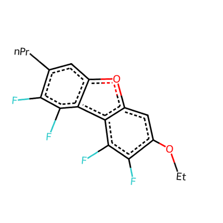 CCCc1cc2oc3cc(OCC)c(F)c(F)c3c2c(F)c1F